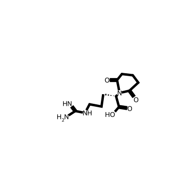 N=C(N)NCCC[C@@H](C(=O)O)N1C(=O)CCCC1=O